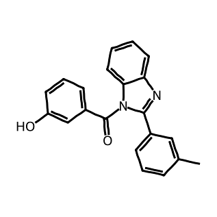 Cc1cccc(-c2nc3ccccc3n2C(=O)c2cccc(O)c2)c1